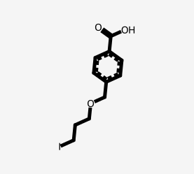 O=C(O)c1ccc(COCCCI)cc1